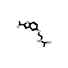 CC(=O)c1cc2cc(OCCNC(C)S)ccc2o1